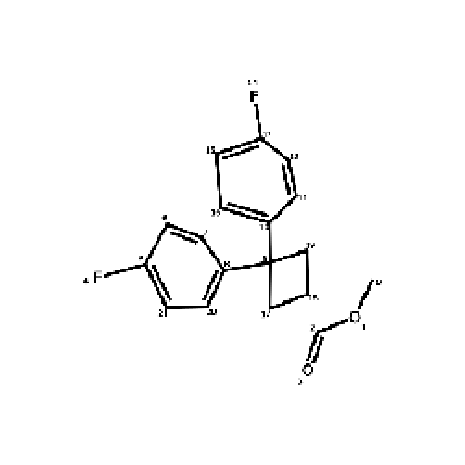 COC=O.Fc1ccc(C2(c3ccc(F)cc3)CCC2)cc1